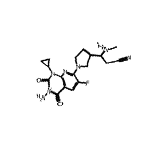 CNC(CC#N)C1CCN(c2nc3c(cc2F)c(=O)n(N)c(=O)n3C2CC2)C1